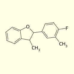 Cc1cc(C2Oc3ccccc3C2C)ccc1F